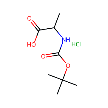 CC(NC(=O)OC(C)(C)C)C(=O)O.Cl